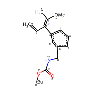 C=C/C(=C(\C)OC)c1cccc(CNC(=O)OC(C)(C)C)c1